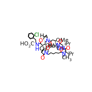 CC[C@H](C)[C@@H](C(CC(=O)N1C2C[C@H]2C[C@H]1[C@H](OC)[C@@H](C)C(=O)N[C@@H](Cc1ccccc1Cl)C(=O)O)OC)N(C)C(=O)[C@@H](NC(=O)C(C(C)C)N(C)C(=O)CCCCCN1C(=O)C=CC1=O)C(C)C